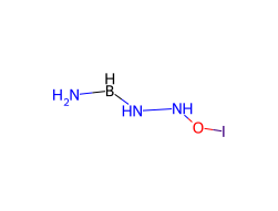 NBNNOI